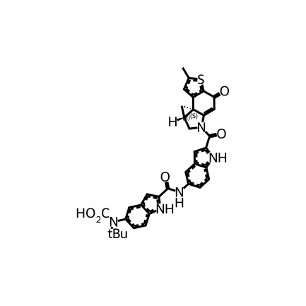 Cc1cc2c(s1)C(=O)C=C1N(C(=O)c3cc4cc(NC(=O)c5cc6cc(N(C(=O)O)C(C)(C)C)ccc6[nH]5)ccc4[nH]3)C[C@@H]3C[C@@]123